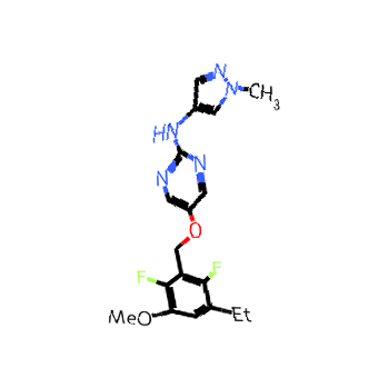 CCc1cc(OC)c(F)c(COc2cnc(Nc3cnn(C)c3)nc2)c1F